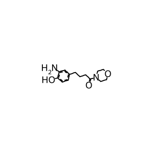 Nc1cc(CCCC(=O)N2CCOCC2)ccc1O